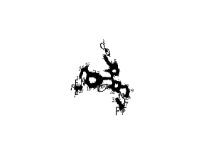 COOCc1cccc(C2c3cc4c(cc3Oc3cc5c(cc32)CCCN5CC(F)(F)F)N(CC(F)(F)F)CCC4)c1